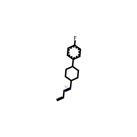 C=C/C=C/C1CCC(c2ccc(F)cc2)CC1